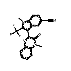 Cn1c(C(F)(F)F)c(-c2nc3ccccc3n(C)c2=O)c2cc(C#N)ccc21